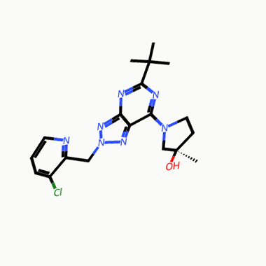 CC(C)(C)c1nc(N2CC[C@@](C)(O)C2)c2nn(Cc3ncccc3Cl)nc2n1